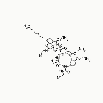 CCCCCCCCc1ccc(C(=O)N[C@@H](CCN)C(=O)N(C)[C@@H]2C(=O)N[C@@H](C)C(=O)N[C@H](C(=O)NCC#N)Cc3ccc(OCCN)c(c3)-c3cc2ccc3OCCN)c(OCC(=O)NCC#N)c1